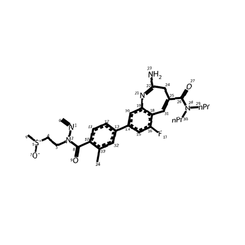 C=NN(CC[S+](C)[O-])C(=O)c1ccc(-c2cc(F)c3c(c2)N=C(N)CC(C(=O)N(CCC)CCC)=C3)cc1C